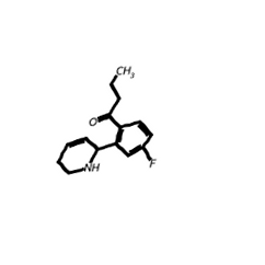 CCCC(=O)c1ccc(F)cc1C1C=CCCN1